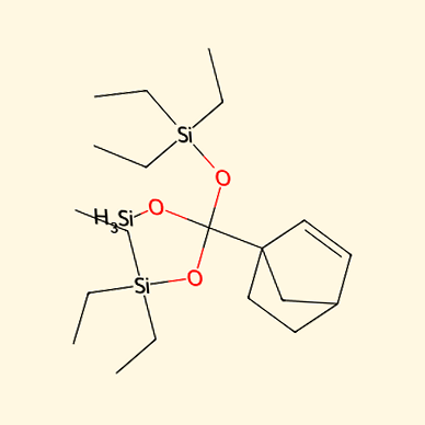 CC[Si](CC)(CC)OC(O[SiH3])(O[Si](CC)(CC)CC)C12C=CC(CC1)C2